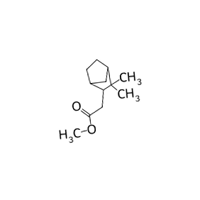 COC(=O)CC1C2CCC(C2)C1(C)C